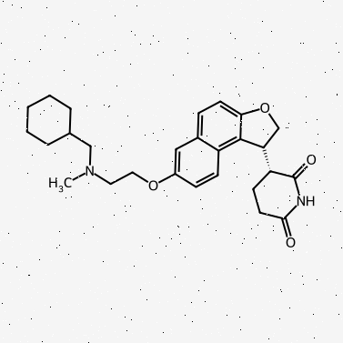 CN(CCOc1ccc2c3c(ccc2c1)OCC3[C@H]1CCC(=O)NC1=O)CC1CCCCC1